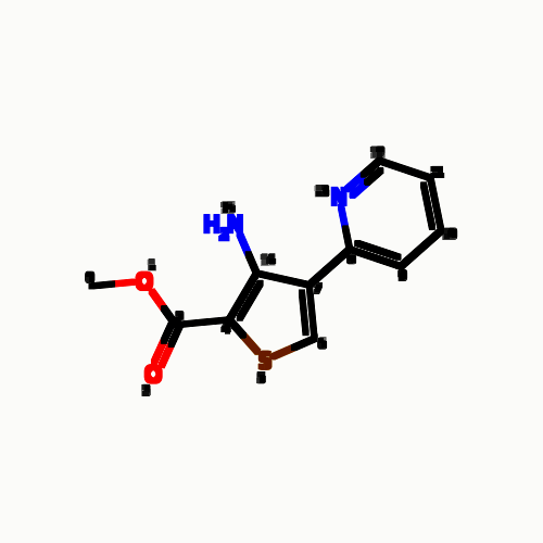 COC(=O)c1scc(-c2ccccn2)c1N